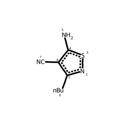 CCCCc1nsc(N)c1C#N